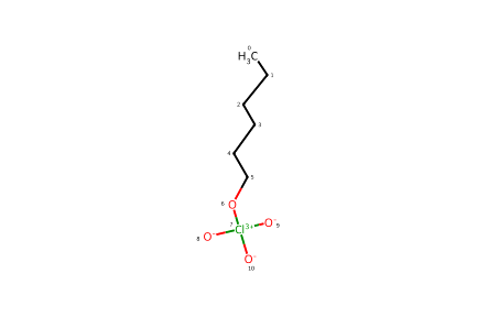 CCCCCCO[Cl+3]([O-])([O-])[O-]